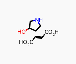 O=C(O)C=CC(=O)O.OC1CCNC1